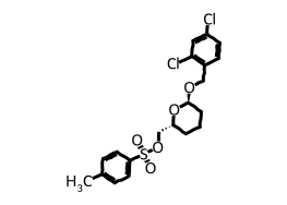 Cc1ccc(S(=O)(=O)OC[C@H]2CCC[C@H](OCc3ccc(Cl)cc3Cl)O2)cc1